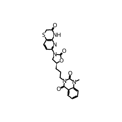 Cn1c(=O)n(CCC[C@H]2CN(c3ccc4c(n3)NC(=O)CS4)C(=O)O2)c(=O)c2ccccc21